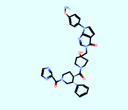 COc1ccc(-n2ccc3c(=O)n(CC4(O)CCN(C(=O)[C@@H]5CCN(C(=O)c6cnccn6)C[C@H]5c5ccccc5)CC4)cnc32)cc1